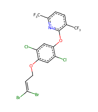 FC(F)(F)c1ccc(C(F)(F)F)c(Oc2cc(Cl)c(OCC=C(Br)Br)cc2Cl)n1